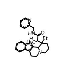 CCC1(C(C)C(=O)NCc2ccccn2)CCCN2CCc3c([nH]c4ccccc34)C21